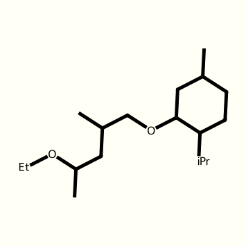 CCOC(C)CC(C)COC1CC(C)CCC1C(C)C